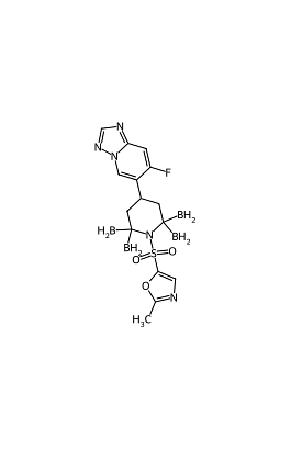 BC1(B)CC(c2cn3ncnc3cc2F)CC(B)(B)N1S(=O)(=O)c1cnc(C)o1